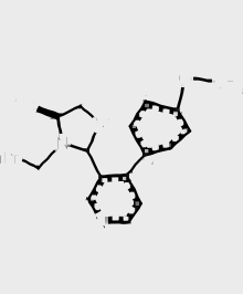 CC(C)CN1C(=O)CSC1c1cnccc1-c1ccc(OC(F)(F)F)cc1